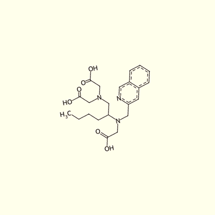 CCCCC(CN(CC(=O)O)CC(=O)O)N(CC(=O)O)Cc1cc2ccccc2cn1